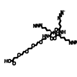 [N-]=[N+]=NCCCC[C@H](NC(=O)CCCN=[N+]=[N-])C(=O)N[C@@H](CCCCN=[N+]=[N-])C(=O)NCCOCCOCCOCCOCCC(=O)O